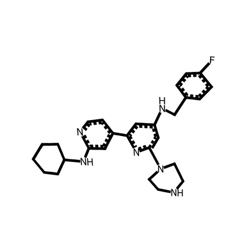 Fc1ccc(CNc2cc(-c3ccnc(NC4CCCCC4)c3)nc(N3CCNCC3)c2)cc1